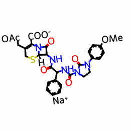 COc1ccc(N2CCN(C(=O)NC(C(=O)NC3C(=O)N4C(C(=O)[O-])=C(COC(C)=O)CS[C@@H]34)c3ccccc3)C2=O)cc1.[Na+]